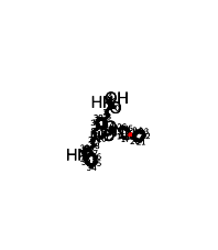 O=C(/C=C/c1ccc(CN(CCOC(=O)N2CCN(c3ccccc3)CC2)CCc2c[nH]c3ccccc23)cc1)NO